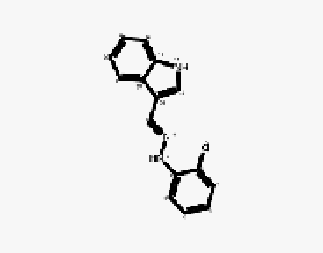 Clc1ccccc1NN=Cc1c[nH]c2ccccc12